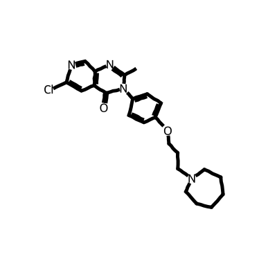 Cc1nc2cnc(Cl)cc2c(=O)n1-c1ccc(OCCCN2CCCCCC2)cc1